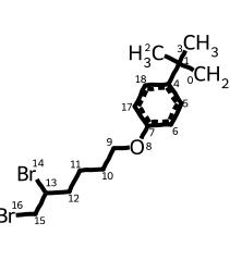 [CH2]C(C)(C)c1ccc(OCCCCC(Br)CBr)cc1